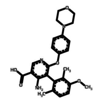 COc1ccc(C)c(-c2c(Oc3ccc(N4CCOCC4)cc3)ncc(C(=O)O)c2N)c1C